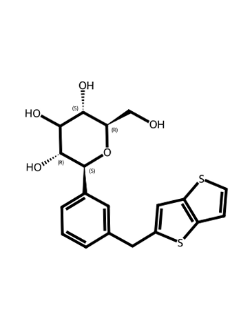 OC[C@H]1O[C@@H](c2cccc(Cc3cc4sccc4s3)c2)[C@H](O)C(O)[C@@H]1O